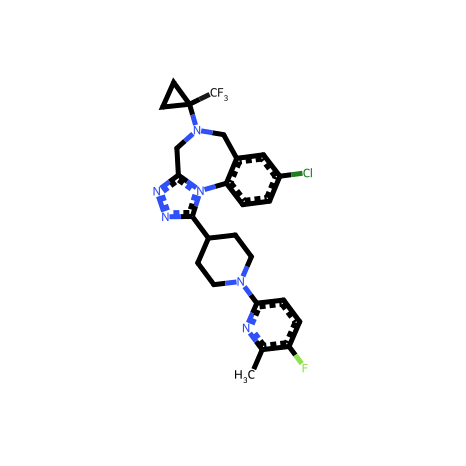 Cc1nc(N2CCC(c3nnc4n3-c3ccc(Cl)cc3CN(C3(C(F)(F)F)CC3)C4)CC2)ccc1F